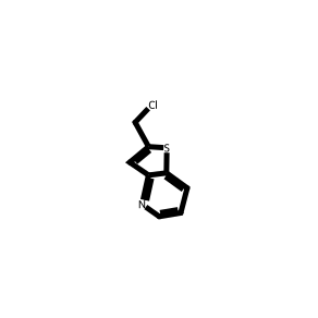 ClCc1cc2ncccc2s1